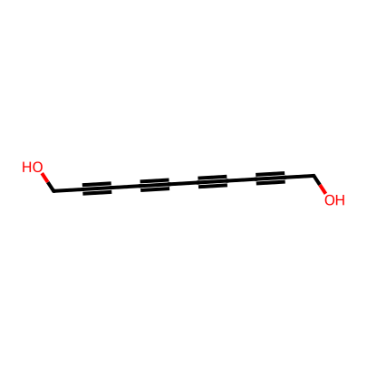 OCC#CC#CC#CC#CCO